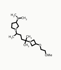 COCCOC1CN(C(C)(C)CCC(C)N2CCC(N(C)C)C2)C1